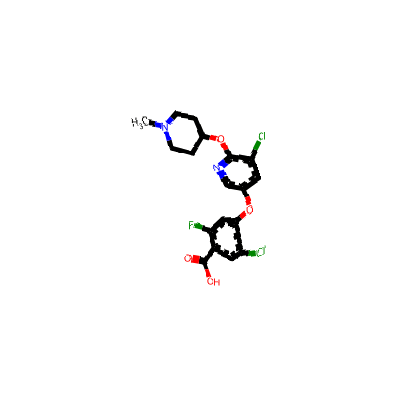 CN1CCC(Oc2ncc(Oc3cc(F)c(C(=O)O)cc3Cl)cc2Cl)CC1